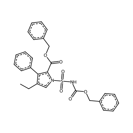 CCc1cn(S(=O)(=O)NC(=O)OCc2ccccc2)c(C(=O)OCc2ccccc2)c1-c1ccccc1